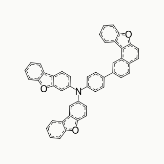 c1ccc2c(c1)oc1cc(N(c3ccc(-c4ccc5ccc6oc7ccccc7c6c5c4)cc3)c3ccc4oc5ccccc5c4c3)ccc12